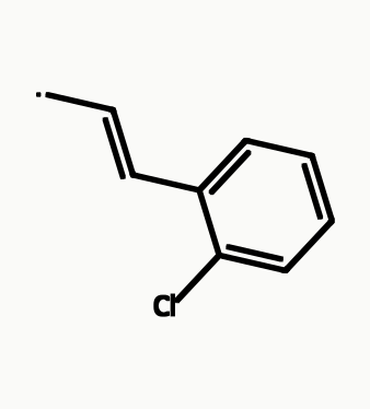 [CH2]C=Cc1ccccc1Cl